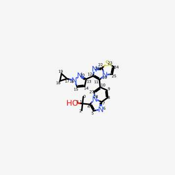 CC(C)(O)c1cnc2ccc(-c3c(-c4ccn(C5CC5)n4)nc4sccn34)cn12